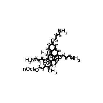 CCCCCCCCOCCC[C@@H](C)[C@H]1CC[C@H]2C3[C@H](OCCCN)CC4C[C@H](OCCCN)CC[C@]4(C)[C@H]3C[C@H](OCCCN)[C@]12C